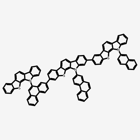 c1ccc2cc(-n3c4ccccc4c4ccc5c6cc(-c7ccc8c9ccc%10c%11ccc(-c%12ccc%13c(c%12)c(-n%12c%14ccccc%14c%14ccc%15c%16ccccc%16sc%15c%14%12)cc%12ccccc%12%13)cc%11sc%10c9n(-c9ccc%10c(ccc%11ccccc%11%10)c9)c8c7)ccc6sc5c43)ccc2c1